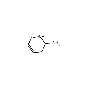 NC1CC=CSN1